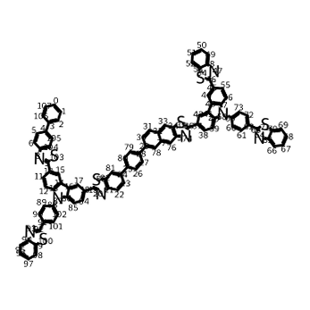 c1ccc(-c2ccc3nc(-c4ccc5c(c4)c4cc(-c6nc7ccc(-c8ccc(-c9ccc%10cc%11sc(-c%12ccc%13c(c%12)c%12cc(-c%14nc%15ccccc%15s%14)ccc%12n%13-c%12ccc(-c%13nc%14ccccc%14s%13)cc%12)nc%11cc%10c9)cc8)cc7s6)ccc4n5-c4ccc(-c5nc6ccccc6s5)cc4)sc3c2)cc1